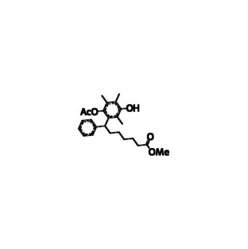 COC(=O)CCCCCC(c1ccccc1)c1c(C)c(O)c(C)c(C)c1OC(C)=O